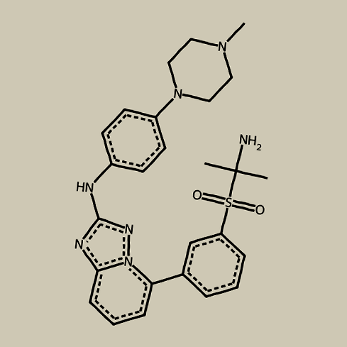 CN1CCN(c2ccc(Nc3nc4cccc(-c5cccc(S(=O)(=O)C(C)(C)N)c5)n4n3)cc2)CC1